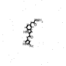 CC(=O)c1cc(CC(=O)c2cc3cc(CC(=O)CN)ccc3[nH]2)c[nH]1